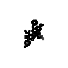 CCC(C)[C@H](NC(=O)N1CCN(C)CC1)C(=O)N(CCCc1ccccc1)C(c1ccc(OC)cc1)S(N)(=O)=O